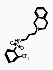 O=S(=O)(NCCCN1CCc2ccccc2C1)c1ccccc1C(F)(F)F